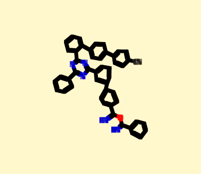 N#Cc1ccc(-c2ccc(-c3ccccc3-c3nc(-c4ccccc4)nc(-c4cccc(-c5ccc(C(=N)OC(=N)c6ccccc6)cc5)c4)n3)cc2)cc1